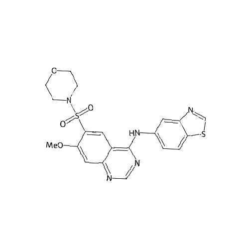 COc1cc2ncnc(Nc3ccc4scnc4c3)c2cc1S(=O)(=O)N1CCOCC1